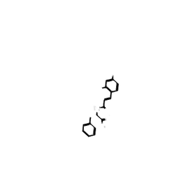 Cc1ccc(C=CC(=O)N[C@@H](Cc2ccccc2)C(=O)O)c(F)c1